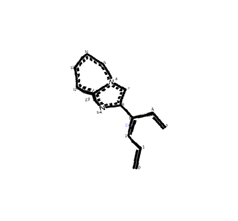 C=C/C=C(\C=C)c1cn2ccccc2n1